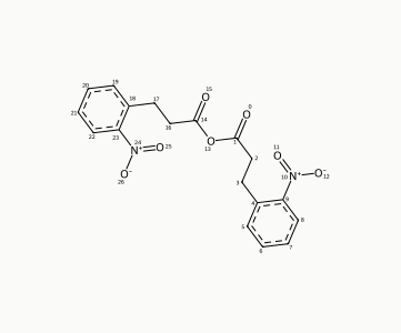 O=C(CCc1ccccc1[N+](=O)[O-])OC(=O)CCc1ccccc1[N+](=O)[O-]